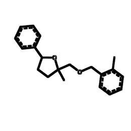 Cc1ccccc1COCC1(C)CCC(c2ccccc2)O1